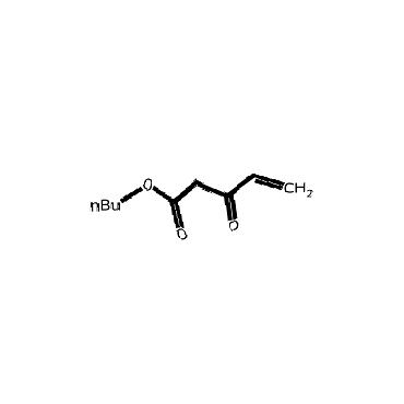 C=CC(=O)CC(=O)OCCCC